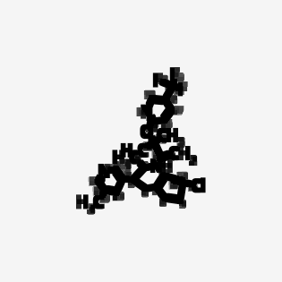 C=C(NC(C)C(Cc1ccc(Cl)cc1)c1cncc(C)c1)C(C)(C)Oc1ccc(C(F)(F)F)cn1